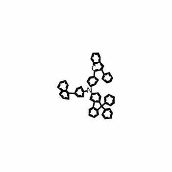 c1ccc(-c2cc3ccccc3cc2-c2ccc(N(c3ccc(-c4cccc5ccccc45)cc3)c3ccc4c(c3)-c3ccccc3C4(c3ccccc3)c3ccccc3)cc2)cc1